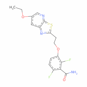 CCOc1cnc2sc(CCOc3ccc(F)c(C(N)=O)c3F)nc2c1